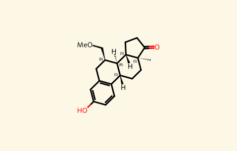 COC[C@@H]1Cc2cc(O)ccc2[C@H]2CC[C@]3(C)C(=O)CC[C@H]3[C@H]12